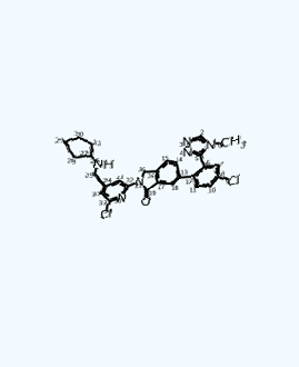 Cn1cnnc1-c1cc(Cl)ccc1-c1ccc2c(c1)C(=O)N(c1cc(CNC3CCCC3)cc(Cl)n1)C2